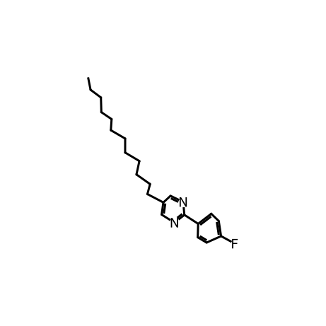 CCCCCCCCCCCCc1cnc(-c2ccc(F)cc2)nc1